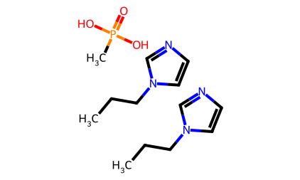 CCCn1ccnc1.CCCn1ccnc1.CP(=O)(O)O